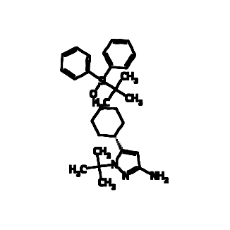 CC(C)(C)n1nc(N)cc1[C@H]1CC[C@@H](O[Si](c2ccccc2)(c2ccccc2)C(C)(C)C)CC1